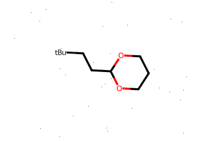 CC(C)(C)CCC1OCCCO1